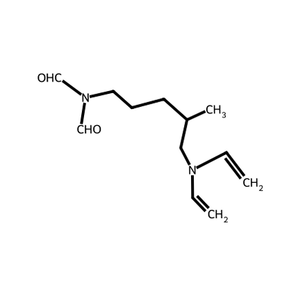 C=CN(C=C)CC(C)CCCN(C=O)C=O